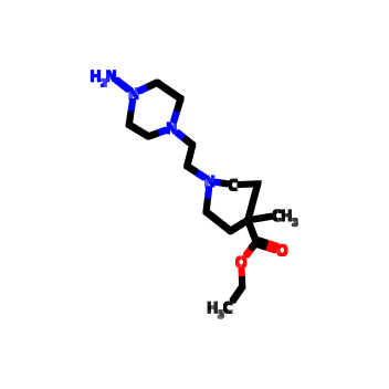 CCOC(=O)C1(C)CCN(CCN2CCN(N)CC2)CC1